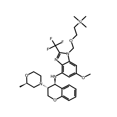 COc1cc(N[C@H]2c3ccccc3OC[C@@H]2N2CCO[C@H](C)C2)c2nc(C(F)(F)F)n(COCC[Si](C)(C)C)c2c1